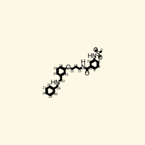 CS(=O)(=O)Nc1cccc(C(=O)NCCCOc2cccc(CNCc3ccccc3)c2)c1